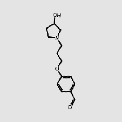 O=Cc1ccc(OCCCN2CCC(O)C2)cc1